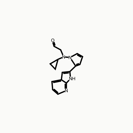 O=CCN(C1CC1)n1cccc1-c1cc2cccnc2[nH]1